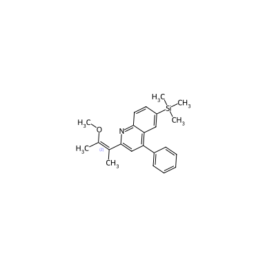 CO/C(C)=C(/C)c1cc(-c2ccccc2)c2cc([Si](C)(C)C)ccc2n1